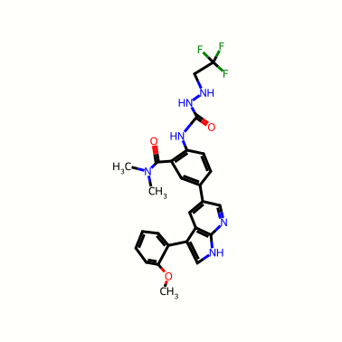 COc1ccccc1-c1c[nH]c2ncc(-c3ccc(NC(=O)NNCC(F)(F)F)c(C(=O)N(C)C)c3)cc12